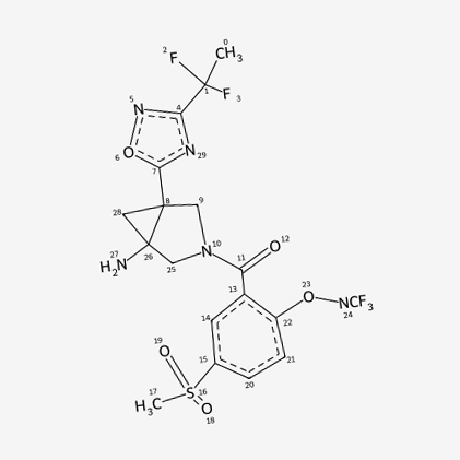 CC(F)(F)c1noc(C23CN(C(=O)c4cc(S(C)(=O)=O)ccc4ONC(F)(F)F)CC2(N)C3)n1